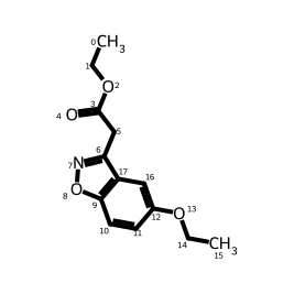 CCOC(=O)Cc1noc2ccc(OCC)cc12